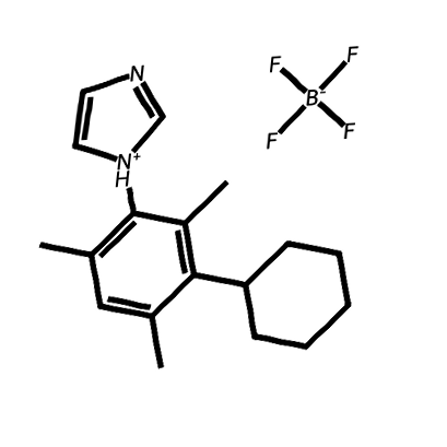 Cc1cc(C)c([NH+]2C=CN=C2)c(C)c1C1CCCCC1.F[B-](F)(F)F